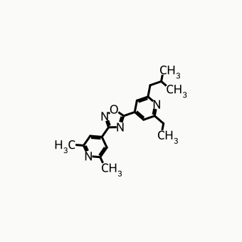 CCc1cc(-c2nc(-c3cc(C)nc(C)c3)no2)cc(CC(C)C)n1